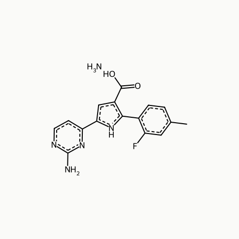 Cc1ccc(-c2[nH]c(-c3ccnc(N)n3)cc2C(=O)O)c(F)c1.N